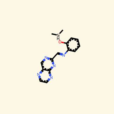 C[SiH](C)Oc1ccccc1N=Cc1ncc2nccnc2n1